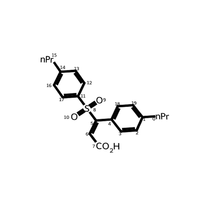 CCCc1ccc(/C(=C\C(=O)O)S(=O)(=O)c2ccc(CCC)cc2)cc1